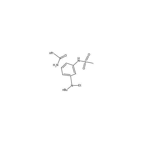 CCCC(N)=O.CCCCN(CC)c1cccc(NS(C)(=O)=O)c1